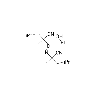 CC(C)CC(C)(C#N)N=NC(C)(C#N)CC(C)C.CCO